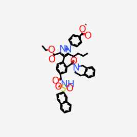 CCCCc1c(-c2ccc(C(=O)NS(=O)(=O)c3ccc4ccccc4c3)cc2C(=O)N2CCc3ccccc3C2)c(C(=O)OCC)nn1-c1ccc(C(=O)OC)cc1